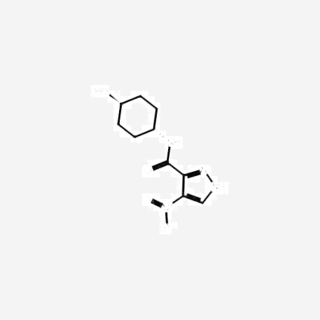 O=C(N[C@H]1CC[C@H](O)CC1)c1n[nH]cc1[N+](=O)[O-]